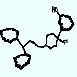 Oc1cccc(C2(F)CCN(CCC(c3ccccc3)c3ccccc3)CC2)c1